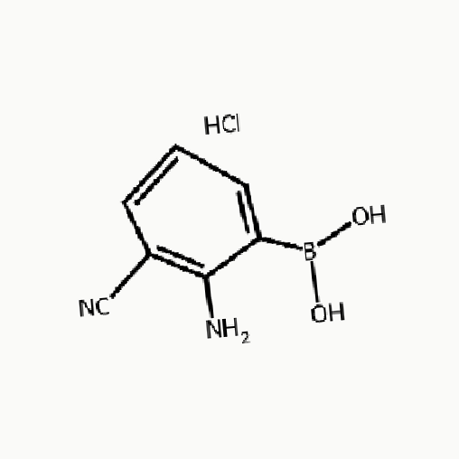 Cl.N#Cc1cccc(B(O)O)c1N